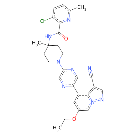 CCOc1cc(-c2cnc(N3CCC(C)(NC(=O)c4nc(C)ccc4Cl)CC3)cn2)c2c(C#N)cnn2c1